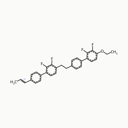 C/C=C/c1ccc(-c2ccc(CCc3ccc(-c4ccc(OCC)c(F)c4F)cc3)c(F)c2F)cc1